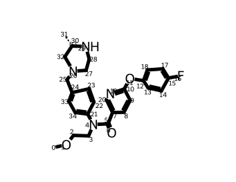 COCCN(C(=O)c1ccc(Oc2ccc(F)cc2)nc1)c1ccc(CN2CCN[C@@H](C)C2)cc1